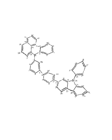 c1ccc(N(c2cccc(-c3ccc(-c4ccc5c6ccccc6n(-c6ccccc6)c5c4)cc3)c2)c2cccc3ccccc23)cc1